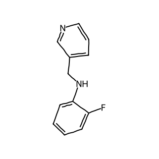 Fc1ccccc1NCc1cccnc1